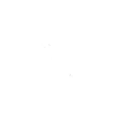 O=C(CCCCCNCCc1ccccc1)c1c[nH]c2ccccc12